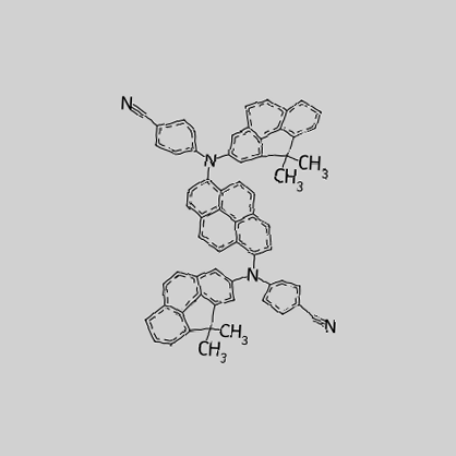 CC1(C)c2cccc3ccc4cc(N(c5ccc(C#N)cc5)c5ccc6ccc7c(N(c8ccc(C#N)cc8)c8cc9c%10c(ccc%11cccc(c%11%10)C9(C)C)c8)ccc8ccc5c6c87)cc1c4c23